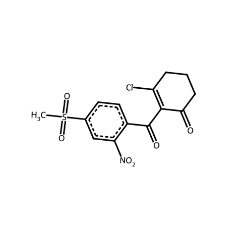 CS(=O)(=O)c1ccc(C(=O)C2=C(Cl)CCCC2=O)c([N+](=O)[O-])c1